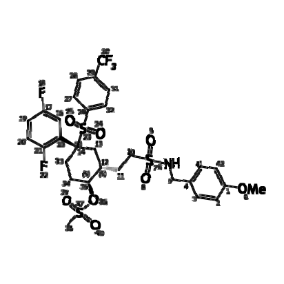 COc1ccc(CNS(=O)(=O)CC[C@H]2C[C@@](c3cc(F)ccc3F)(S(=O)(=O)c3ccc(C(F)(F)F)cc3)CC[C@@H]2OS(C)(=O)=O)cc1